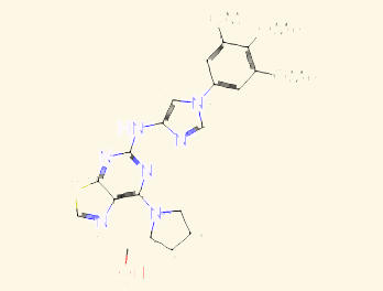 COc1cc(-n2cnc(Nc3nc(N4CCC[C@@H]4CO)c4ncsc4n3)c2)cc(OC)c1OC